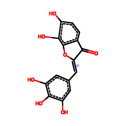 O=C1/C(=C/c2cc(O)c(O)c(O)c2)Oc2c1ccc(O)c2O